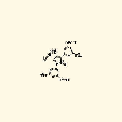 CCCCCc1cc(CCCC)cc(C2=CC(CC)=C(c3cc(CCCC)cc(CCCCC)c3)[N+]2=[N-])c1.[CH3][Ni][CH3]